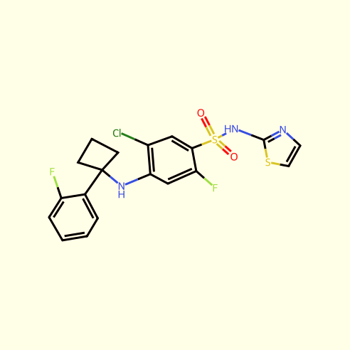 O=S(=O)(Nc1nccs1)c1cc(Cl)c(NC2(c3ccccc3F)CCC2)cc1F